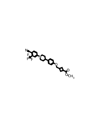 COC(=O)C1CC(COc2ccc(C3CCN(c4ccc(C#N)c(C(F)(F)F)c4)CC3)cc2)C1